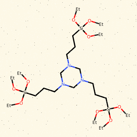 CCO[Si](CCCN1CN(CCC[Si](OCC)(OCC)OCC)CN(CCC[Si](OCC)(OCC)OCC)C1)(OCC)OCC